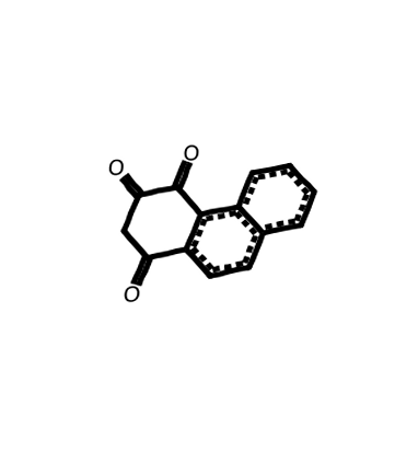 O=C1CC(=O)c2ccc3ccccc3c2C1=O